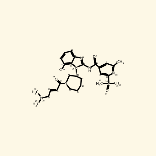 Cc1cc(C(=O)Nc2nc3cccc(Cl)c3n2[C@H]2CCCCN(C(=O)/C=C/CN(C)C)C2)cc(P(C)(C)=O)n1